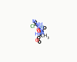 C[C@@H](Nc1ncc(-c2ccccc2F)n(CC(=O)NCc2[nH]c3ccncc3c2Cl)c1=O)c1ccc2oc3ccccc3c2c1